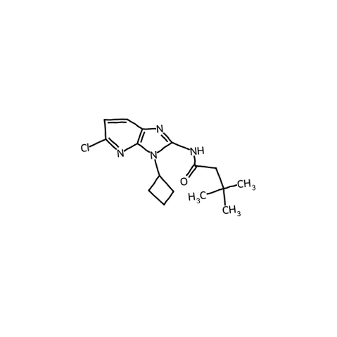 CC(C)(C)CC(=O)Nc1nc2ccc(Cl)nc2n1C1CCC1